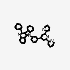 c1ccc(-c2nc3ccccc3c3c2c2ccccc2n3-c2cccc(-c3cc(-c4ccccn4)nc(-c4ccccn4)c3)c2)cc1